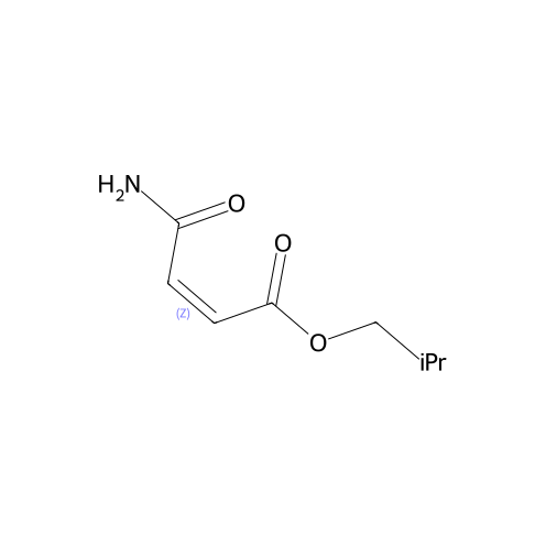 CC(C)COC(=O)/C=C\C(N)=O